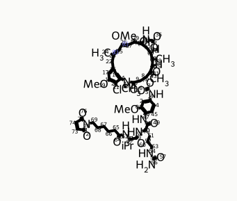 COc1cc(NC(=O)O[C@H]2CC(=O)N(C)c3cc(cc(OC)c3Cl)C/C(C)=C/C=C/[C@@H](OC)[C@@]3(O)C[C@H](OC(=O)N3)[C@@H](C)[C@@H]3O[C@@]23C)ccc1NC(=O)[C@H](CCCNC(N)=O)NC(=O)[C@@H](NC(=O)CCCCCN1C(=O)C=CC1=O)C(C)C